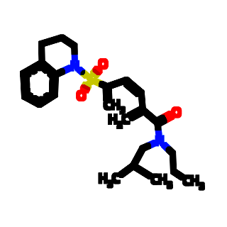 C=C(/C=C\C(=C)S(=O)(=O)N1CCCc2ccccc21)C(=O)N(CCC)CC(C)C